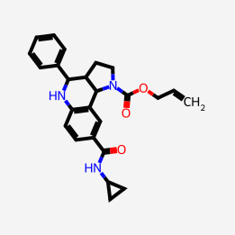 C=CCOC(=O)N1CCC2C(c3ccccc3)Nc3ccc(C(=O)NC4CC4)cc3C21